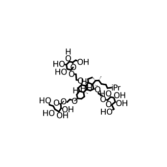 CC(C)CCC[C@@H](C)[C@H]1CC[C@H]2[C@@H]3[C@H](OCCO[C@@H]4OC(CO)[C@@H](O)C(O)[C@@H]4O)C[C@@H]4C[C@H](OCCO[C@@H]5OC(CO)[C@@H](O)C(O)[C@@H]5O)CC[C@]4(C)[C@H]3C[C@H](OCCOC3OC(CO)[C@@H](O)C(O)[C@@H]3O)[C@]12C